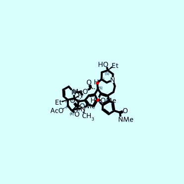 CC[C@]1(O)C[C@H]2CN(CCc3c([nH]c4ccc(C(=O)NC)cc34)[C@@](C(=O)OC)(c3cc4c(cc3OC)N(C)[C@@]35O[C@]3(C(=O)OC)[C@H](OC(C)=O)[C@]3(CC)C=CCN6CC[C@]45[C@@H]63)C2)C1